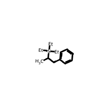 CC[Si](CC)(CC)C(C)Cc1ccccc1